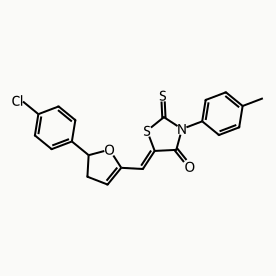 Cc1ccc(N2C(=O)/C(=C/C3=CCC(c4ccc(Cl)cc4)O3)SC2=S)cc1